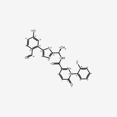 C[C@@H](NC(=O)c1ccc(=O)n(-c2ccccc2F)n1)c1ncc(-c2cc(Cl)ccc2C=O)s1